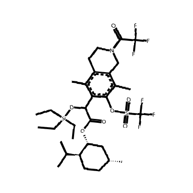 CC[Si](CC)(CC)OC(C(=O)O[C@@H]1C[C@H](C)CC[C@H]1C(C)C)c1c(C)c2c(c(C)c1OS(=O)(=O)C(F)(F)F)CN(C(=O)C(F)(F)F)CC2